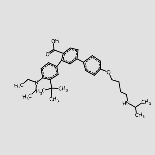 CCN(CC)c1ccc(-c2cc(-c3ccc(OCCCCNC(C)C)cc3)ccc2C(=O)O)cc1C(C)(C)C